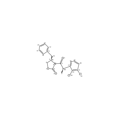 C[C@@H](C(=O)N1C(=O)OC[C@H]1Cc1ccccc1)c1cccc(Cl)c1Cl